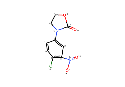 O=C1OCCN1c1ccc(Cl)c([N+](=O)[O-])c1